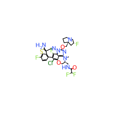 CN1c2nc(OC[C@@]34CCCN3C[C@H](F)C4)nc3c(F)c(-c4ccc(F)c5sc(N)c(C#N)c45)c(Cl)c(c23)OC[C@@H]1CNC(=O)C(F)F